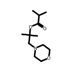 CC(C)C(=O)OC(C)(C)CN1CCOCC1